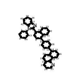 c1ccc(-n2c(-c3ccc(-c4ccc(-c5cccc6c5ccc5cccnc56)cc4)c4ccccc34)nc3ccccc32)cc1